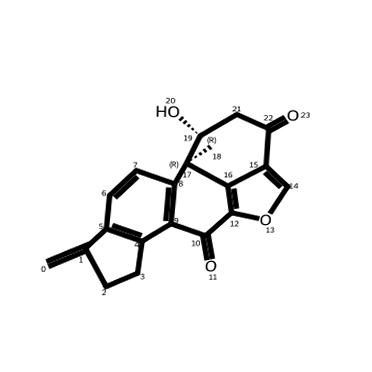 C=C1CCc2c1ccc1c2C(=O)c2occ3c2[C@]1(C)[C@H](O)CC3=O